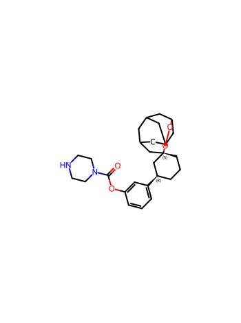 O=C(Oc1cccc([C@@H]2CCC[C@]3(CC4CC5CC(C4)CC(C5)OO3)C2)c1)N1CCNCC1